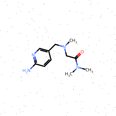 CN(CC(=O)N(C)C)Cc1ccc(N)nc1